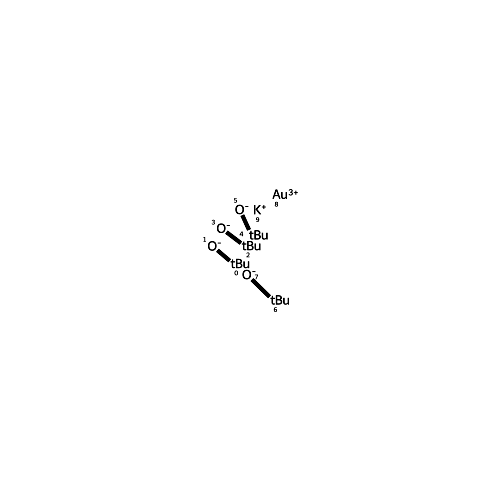 CC(C)(C)[O-].CC(C)(C)[O-].CC(C)(C)[O-].CC(C)(C)[O-].[Au+3].[K+]